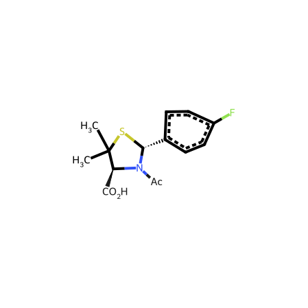 CC(=O)N1[C@@H](c2ccc(F)cc2)SC(C)(C)[C@@H]1C(=O)O